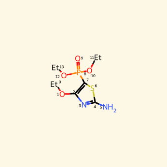 CCOc1nc(N)sc1P(=O)(OCC)OCC